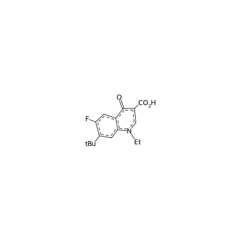 CCn1cc(C(=O)O)c(=O)c2cc(F)c(C(C)(C)C)cc21